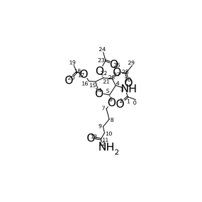 CC(=O)NC1[C@H](OCCCCC(N)=O)OC(COC(C)=O)[C@H](OC(C)=O)[C@@H]1OC(C)=O